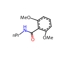 CCCNC(=O)c1c(OC)cccc1OC